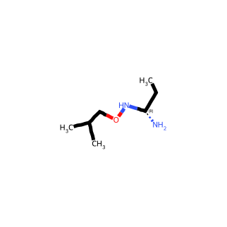 CC[C@H](N)NOCC(C)C